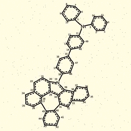 c1ccc(N(c2ccccc2)c2ccc(-c3ccc(-n4c5ccc6cccc7c6c5c5c(cc6ccccc6c54)-c4ccccc4-7)cc3)cc2)cc1